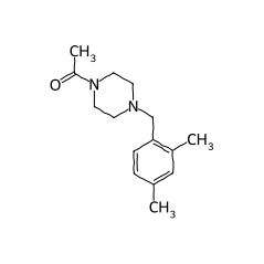 CC(=O)N1CCN(Cc2ccc(C)cc2C)CC1